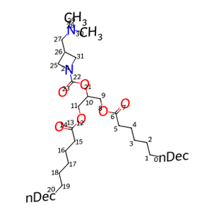 CCCCCCCCCCCCCCCC(=O)OCC(COC(=O)CCCCCCCCCCCCCCC)OC(=O)N1CC(CN(C)C)C1